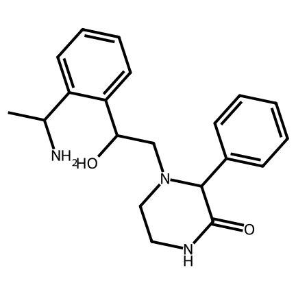 CC(N)c1ccccc1C(O)CN1CCNC(=O)C1c1ccccc1